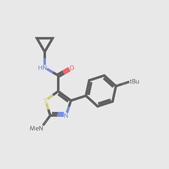 CNc1nc(-c2ccc(C(C)(C)C)cc2)c(C(=O)NC2CC2)s1